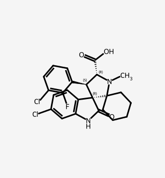 CN1[C@@H](C(=O)O)[C@H](c2cccc(Cl)c2F)[C@]2(C(=O)Nc3cc(Cl)ccc32)C12CCCCC2